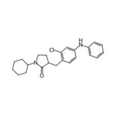 O=C1C(Cc2ccc(Nc3ccccc3)cc2Cl)CCN1C1CCCCC1